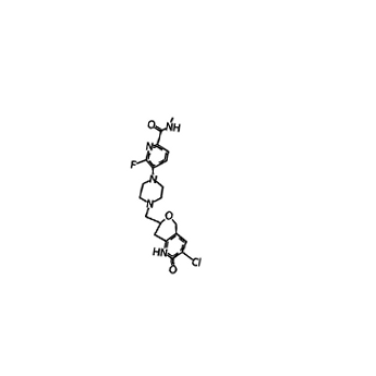 CNC(=O)c1ccc(N2CCN(CC3Cc4[nH]c(=O)c(Cl)cc4CO3)CC2)c(F)n1